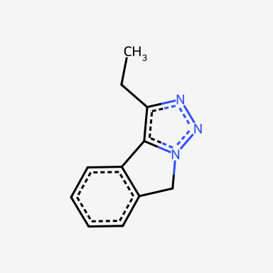 CCc1nnn2c1-c1ccccc1C2